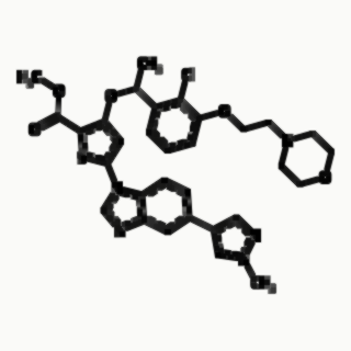 COC(=O)c1sc(-n2cnc3cc(-c4cnn(C)c4)ccc32)cc1OC(C)c1cccc(OCCN2CCOCC2)c1Cl